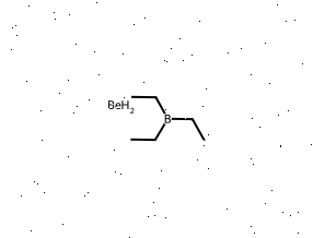 CCB(CC)CC.[BeH2]